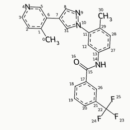 Cc1ccncc1-c1cnn(-c2cc(NC(=O)c3cccc(C(F)(F)F)c3)ccc2C)c1